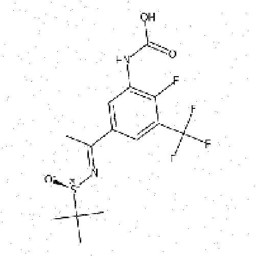 CC(=N[S@+]([O-])C(C)(C)C)c1cc(NC(=O)O)c(F)c(C(F)(F)F)c1